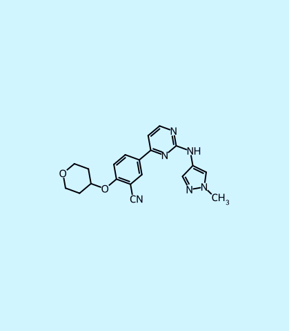 Cn1cc(Nc2nccc(-c3ccc(OC4CCOCC4)c(C#N)c3)n2)cn1